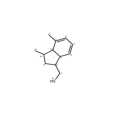 CC1=CC=CC2C(CS)CC(C)C12